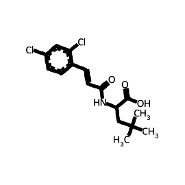 CC(C)(C)CC(NC(=O)C=Cc1ccc(Cl)cc1Cl)C(=O)O